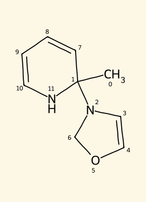 CC1(N2C=COC2)C=CC=CN1